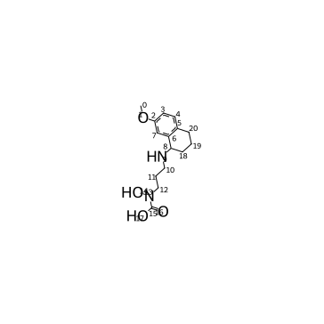 COc1ccc2c(c1)C(NCCCN(O)C(=O)O)CCC2